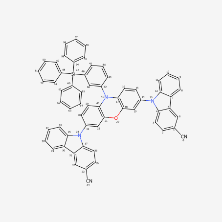 N#Cc1ccc2c(c1)c1ccccc1n2-c1ccc2c(c1)Oc1cc(-n3c4ccccc4c4cc(C#N)ccc43)ccc1N2c1cccc([Si](c2ccccc2)(c2ccccc2)c2ccccc2)c1